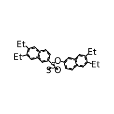 CCc1cc2ccc(OS(=O)(=S)c3ccc4cc(CC)c(CC)cc4c3)cc2cc1CC